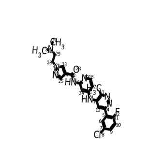 Cc1nnc(-c2cc(Cl)ccc2F)cc1Nc1ccnc(NC(=O)c2cnn(CCN(C)C)c2)c1